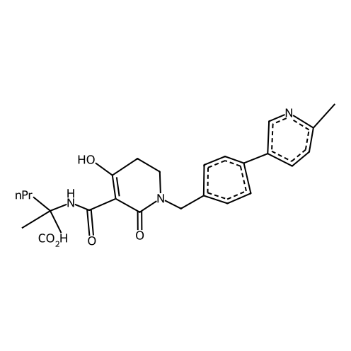 CCCC(C)(NC(=O)C1=C(O)CCN(Cc2ccc(-c3ccc(C)nc3)cc2)C1=O)C(=O)O